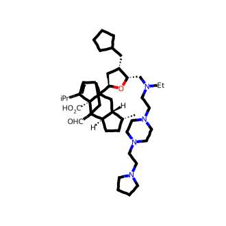 CCN(CCN1CCN(CCN2CCCC2)CC1)C[C@@H]1O[C@@H](C23C[C@@H]4[C@H](C)CC[C@H]4C4(C=O)CC2C=C(C(C)C)[C@]43C(=O)O)C[C@@H]1CC1CCCC1